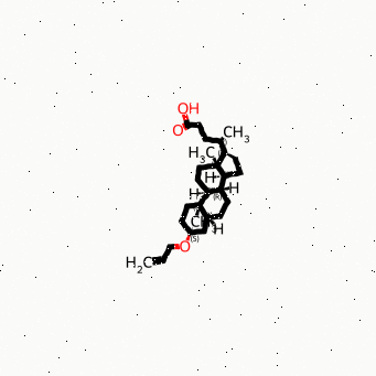 C=CCO[C@H]1CC[C@@]2(C)[C@H](CC[C@@H]3[C@@H]2CC[C@]2(C)[C@@H]([C@H](C)CCC(=O)O)CC[C@@H]32)C1